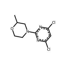 CC1CN(c2nc(Cl)cc(Cl)n2)CCO1